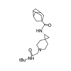 CC(C)(C)NC(=O)CN1CCC2(CC1)C[C@H]2NC(=O)C12CC3CC(C1)C(C3)C2